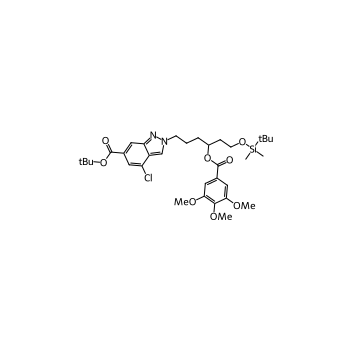 COc1cc(C(=O)OC(CCCn2cc3c(Cl)cc(C(=O)OC(C)(C)C)cc3n2)CCO[Si](C)(C)C(C)(C)C)cc(OC)c1OC